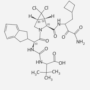 CC(C)(C)C(NC(=O)N[C@H](C(=O)N1C[C@H]2[C@@H]([C@H]1C(=O)NC(CC1CCC1)C(=O)C(N)=O)C2(Cl)Cl)C1Cc2ccccc2C1)C(=O)O